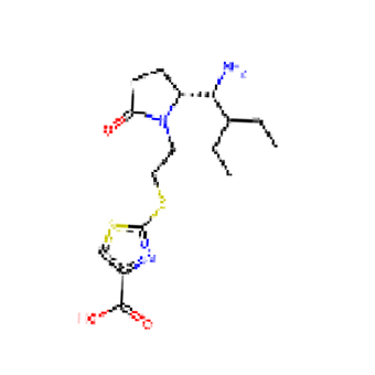 CCC(CC)C(N)[C@H]1CCC(=O)N1CCSc1nc(C(=O)O)cs1